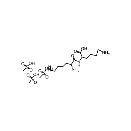 CS(=O)(=O)O.CS(=O)(=O)O.CS(=O)(=O)O.NCCCCC(N)C(=O)NC(CCCCN)C(=O)O